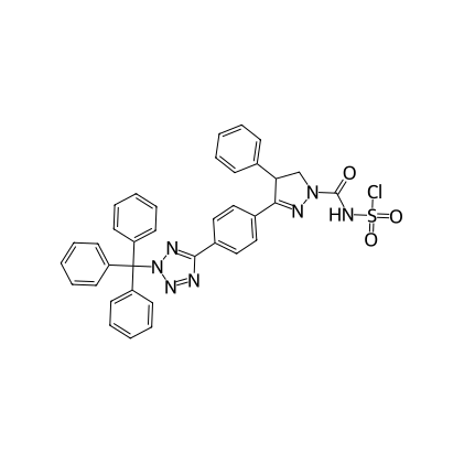 O=C(NS(=O)(=O)Cl)N1CC(c2ccccc2)C(c2ccc(-c3nnn(C(c4ccccc4)(c4ccccc4)c4ccccc4)n3)cc2)=N1